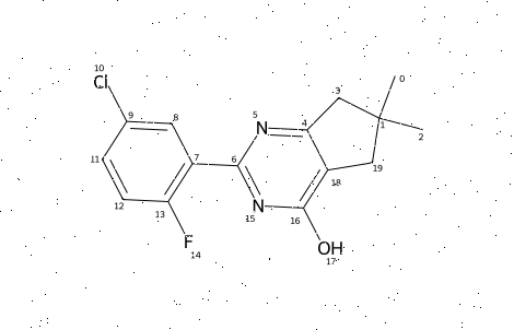 CC1(C)Cc2nc(-c3cc(Cl)ccc3F)nc(O)c2C1